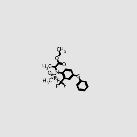 CCOC(=O)C(C)N(c1ccc(Sc2ccccc2)cc1C(F)(F)F)S(C)(=O)=O